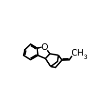 C/C=C1/CC2CC1C1Oc3ccccc3C21